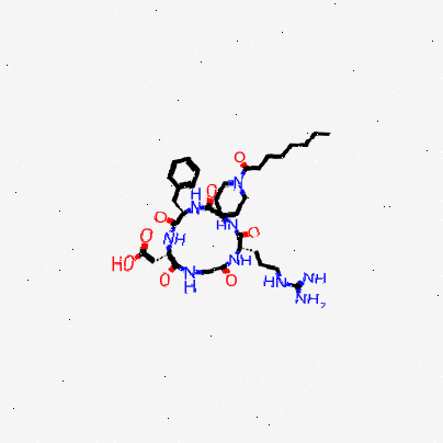 CCCCCCCC(=O)N1CCC2(CC1)NC(=O)[C@H](CCCNC(=N)N)NC(=O)CNC(=O)[C@H](CC(=O)O)NC(=O)[C@@H](Cc1ccccc1)NC2=O